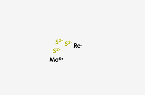 [Mo+6].[Re].[S-2].[S-2].[S-2]